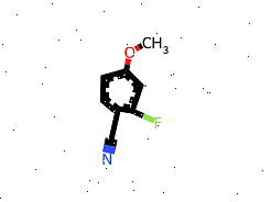 COc1[c]c(F)c(C#N)cc1